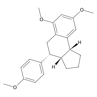 COc1ccc([C@@H]2Cc3c(OC)cc(OC)cc3[C@@H]3CCC[C@H]23)cc1